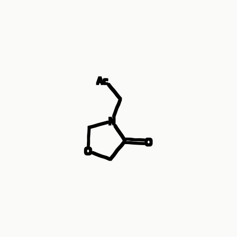 CC(=O)CN1COCC1=O